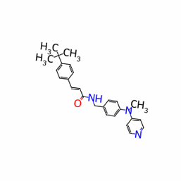 CN(c1ccncc1)c1ccc(CNC(=O)C=Cc2ccc(C(C)(C)C)cc2)cc1